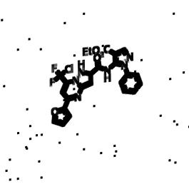 CCOC(=O)c1cnn(-c2ccccc2)c1NC(=O)C1C=C2N=C(c3ccco3)C=C(C(F)(F)Cl)N2N1